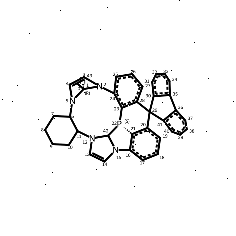 C[C@H]1N2C=CN1C1CCCCC1N1C=CN3c4cccc5c4[P@@](c4c2cccc4C52c4ccccc4-c4ccccc42)C31